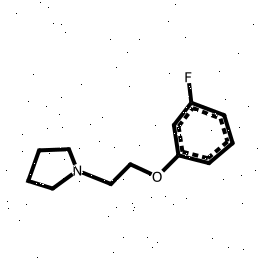 Fc1cccc(OCCN2CCCC2)c1